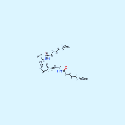 CCCCCCCCCCCCCCCC(=O)NCC#Cc1cccc(C[C@H](NC(=O)CCCCCCCCCCCCCCC)C(C)C)c1